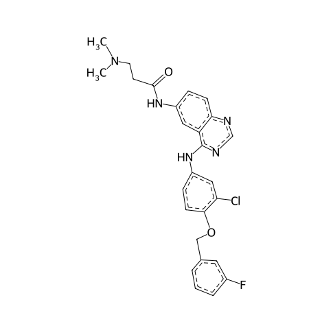 CN(C)CCC(=O)Nc1ccc2ncnc(Nc3ccc(OCc4cccc(F)c4)c(Cl)c3)c2c1